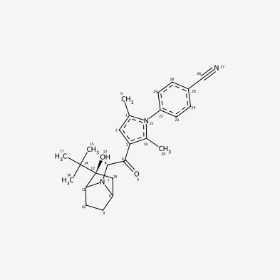 Cc1cc(C(=O)CN2C3CCC2[C@](O)(C(C)(C)C)C3)c(C)n1-c1ccc(C#N)cc1